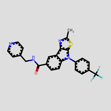 Cc1nc2c3cc(C(=O)NCc4ccncc4)ccc3n(-c3ccc(C(F)(F)F)cc3)c2s1